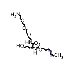 C/C=C\C=C/CCOC(=O)N[C@@H](CCCO)C(=O)NCCOCCOCCOCCN